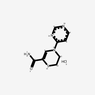 Cl.NC(=O)C1=CN(c2ccncn2)CCS1